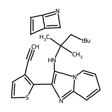 C#Cc1ccsc1-c1nc2ccccn2c1NC(C)(C)CC(C)(C)C.c1cc2ncc1-2